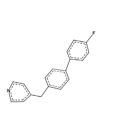 Fc1ccc(-c2ccc(Cc3ccncc3)cc2)cc1